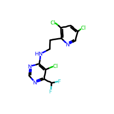 FC(F)c1ncnc(NCCc2ncc(Cl)cc2Cl)c1Cl